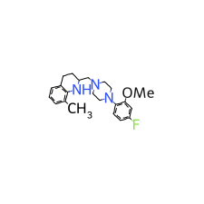 COc1cc(F)ccc1N1CCN(CC2CCc3cccc(C)c3N2)CC1